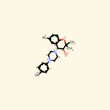 CC1(C)Oc2ccc(C#N)cc2[C@@H](N2CCN(c3ccc(N=O)cc3)CC2)[C@@H]1O